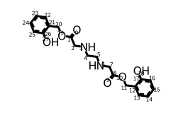 O=C(CNCCNCC(=O)OCc1ccccc1O)OCc1ccccc1O